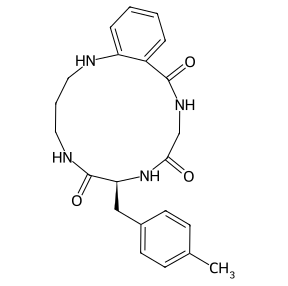 Cc1ccc(C[C@@H]2NC(=O)CNC(=O)c3ccccc3NCCCNC2=O)cc1